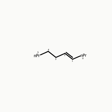 [CH2]CC/C=C/CCCC[CH2]